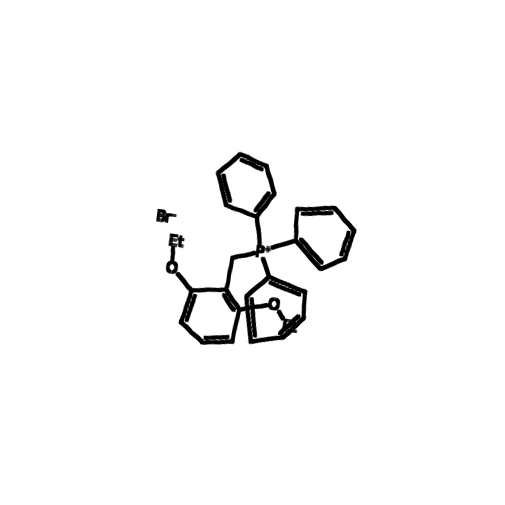 CCOc1cccc(OCC)c1C[P+](c1ccccc1)(c1ccccc1)c1ccccc1.[Br-]